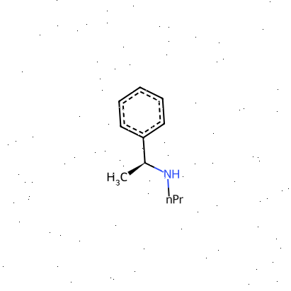 CCCN[C@@H](C)c1ccccc1